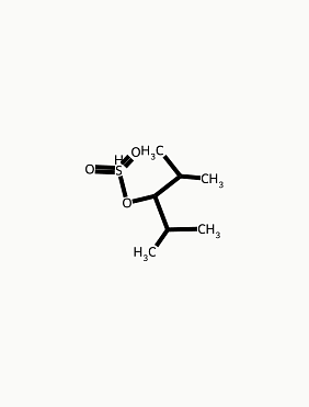 CC(C)C(O[SH](=O)=O)C(C)C